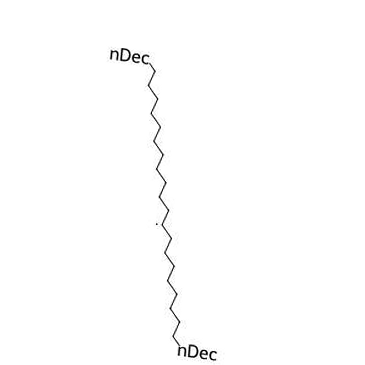 CCCCCCCCCCCCCCCCCC[CH]CCCCCCCCCCCCCCCCCCCCC